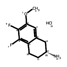 COc1cc2c(c(F)c1F)CC[C@@H](N)C2.Cl